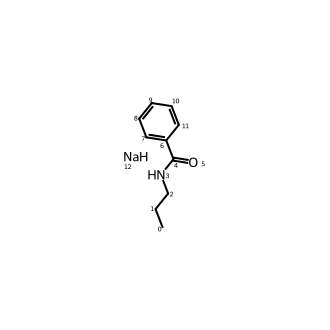 CCCNC(=O)c1ccccc1.[NaH]